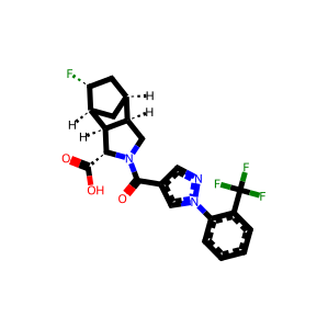 O=C(O)[C@@H]1[C@@H]2[C@H](CN1C(=O)c1cnn(-c3ccccc3C(F)(F)F)c1)[C@H]1C[C@@H]2[C@H](F)C1